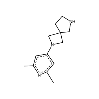 Cc1cc(N2CC3(CCNC3)C2)cc(C)n1